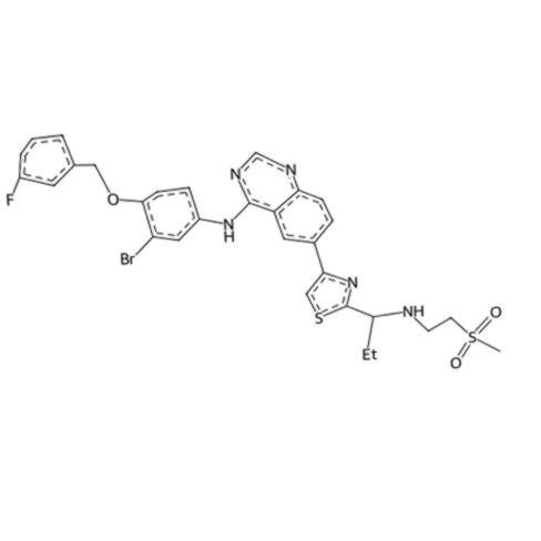 CCC(NCCS(C)(=O)=O)c1nc(-c2ccc3ncnc(Nc4ccc(OCc5cccc(F)c5)c(Br)c4)c3c2)cs1